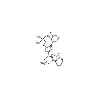 Cc1ccccc1[C@H](CC(=O)O)NC(=O)c1cc(OC[C@@](C)(O)C(C)(C)C)n(-c2cccc(F)c2)n1